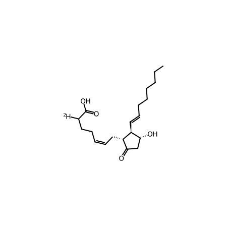 [2H]C(CC/C=C\C[C@H]1C(=O)C[C@@H](O)[C@@H]1/C=C/CCCCCC)C(=O)O